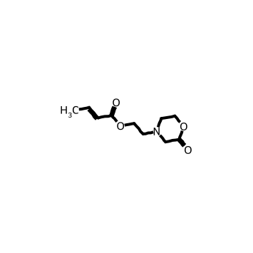 C/C=C/C(=O)OCCN1CCOC(=O)C1